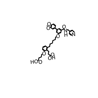 O=C(O)CCCOc1cccc(CCCCCCOc2cc(C(=O)NCc3ccncc3)cc(-c3ccc4c(c3)OCO4)c2)c1CCC(=O)O